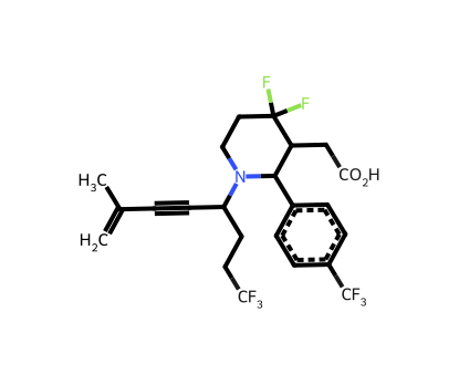 C=C(C)C#CC(CCC(F)(F)F)N1CCC(F)(F)C(CC(=O)O)C1c1ccc(C(F)(F)F)cc1